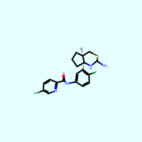 NC1N[C@@]2(c3cc(NC(=O)c4ccc(Br)cn4)ccc3F)CCC[C@H]2CS1